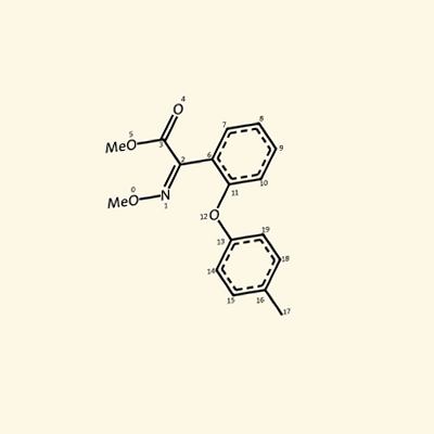 CON=C(C(=O)OC)c1ccccc1Oc1ccc(C)cc1